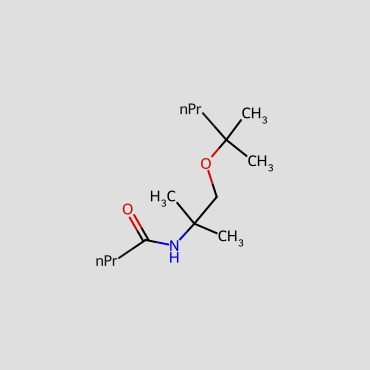 CCCC(=O)NC(C)(C)COC(C)(C)CCC